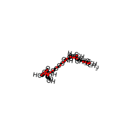 CC(C)(C)OC(=O)NCCCCCC(=O)OCC(COP(=O)(O)OCCNC(=O)CCOCCOCCOCCOCCNC(=O)c1cc(C(=O)O)ccc1-c1c2ccc(=O)cc-2oc2cc(O)ccc12)OC(C)(C)C